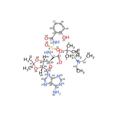 CC(C)(C)OC(=O)C(NS(=O)(=O)NC(=O)c1ccccc1O)[C@H]1O[C@@H](n2cnc3c(N)ncnc32)[C@@H]2OC(C)(C)O[C@@H]21.CCN(CC)CC